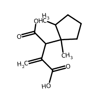 C=C(C(=O)O)C(C(=O)O)C1(C)CCCC1C